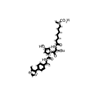 Cc1ncsc1-c1ccc([C@H](C)NC(=O)[C@@H]2C[C@@H](O)CN2C(=O)[C@@H](NC(=O)CCCCCCN(C)C(=O)O)C(C)(C)C)cc1